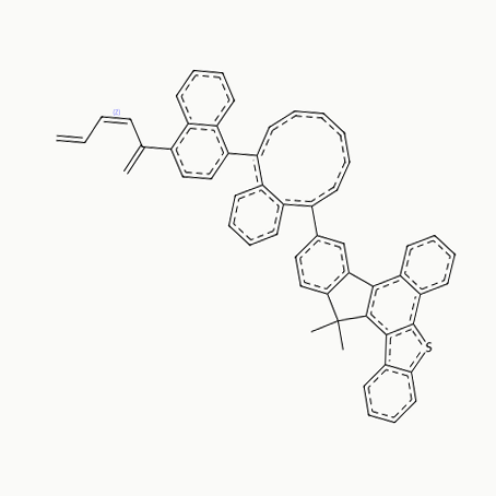 C=C/C=C\C(=C)c1ccc(-c2ccccccc(-c3ccc4c(c3)-c3c(c5c6ccccc6sc5c5ccccc35)C4(C)C)c3ccccc23)c2ccccc12